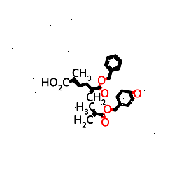 C=C(C)C(=O)OCC1CCC2OC2C1.C=C(CC=C(C)C(=O)O)C(=O)OCc1ccccc1